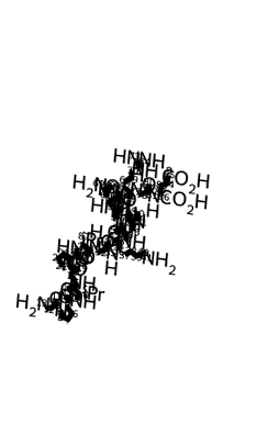 CC(C)[C@H](NC(=O)[C@@H]1CCCN1C(=O)CN)C(=O)NCC(=O)N1CCC[C@H]1C(=O)N[C@H](C(=O)NCC(=O)N[C@@H](CCCCN)C(=O)N[C@@H](Cc1c[nH]cn1)C(=O)NCC(=O)N[C@@H](CC(N)=O)C(=O)N[C@@H](CCCNC(=N)N)C(=O)NCC(=O)N[C@@H](CCC(=O)O)C(=O)O)C(C)C